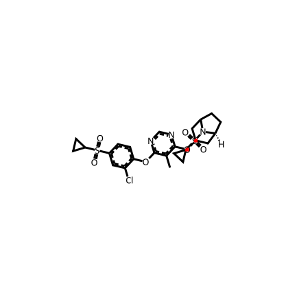 Cc1c(Oc2ccc(S(=O)(=O)C3CC3)cc2Cl)ncnc1O[C@H]1CC2CC[C@@H](C1)N2S(=O)(=O)C1CC1